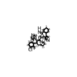 NC(=O)c1ccccc1-c1cnc([C@@H]2CCC3CC(c4c(-n5cnnn5)ccc(Cl)c4F)=CC(=O)N32)[nH]1